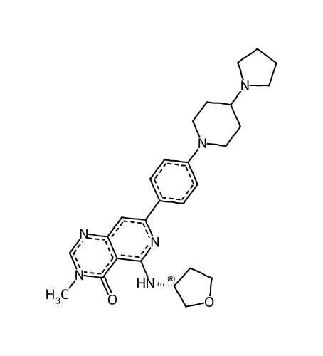 Cn1cnc2cc(-c3ccc(N4CCC(N5CCCC5)CC4)cc3)nc(N[C@@H]3CCOC3)c2c1=O